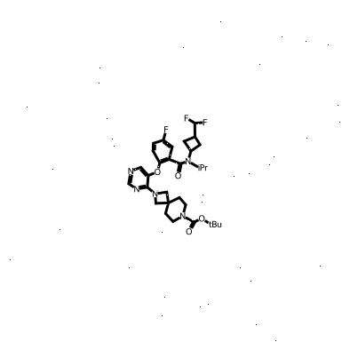 CC(C)N(C(=O)c1cc(F)ccc1Oc1cncnc1N1CC2(CCN(C(=O)OC(C)(C)C)CC2)C1)C1CC(C(F)F)C1